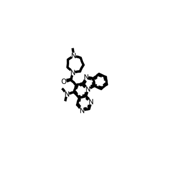 CN1CCCN(C(=O)c2c(N(C)C)c3cncnc3n3c2nc2ccccc23)CC1